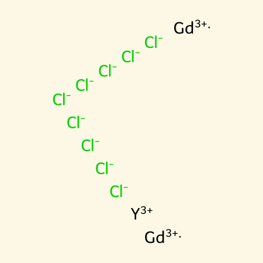 [Cl-].[Cl-].[Cl-].[Cl-].[Cl-].[Cl-].[Cl-].[Cl-].[Cl-].[Gd+3].[Gd+3].[Y+3]